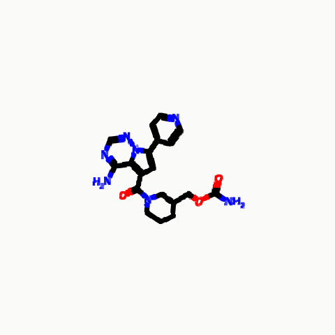 NC(=O)OCC1CCCN(C(=O)c2cc(-c3ccncc3)n3ncnc(N)c23)C1